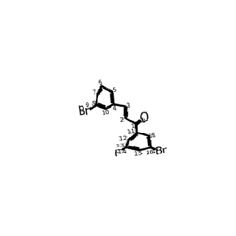 O=C(C=Cc1cccc(Br)c1)c1cc(F)cc(Br)c1